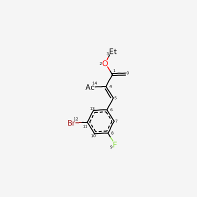 C=C(OCC)/C(=C/c1cc(F)cc(Br)c1)C(C)=O